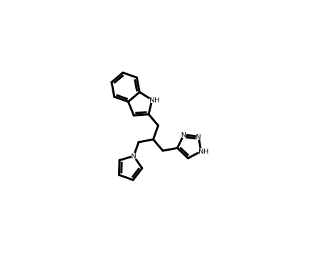 c1ccc2[nH]c(C[C](Cc3c[nH]nn3)Cn3cccc3)cc2c1